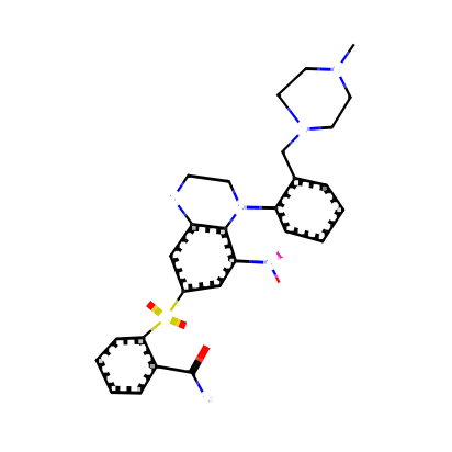 CN1CCN(Cc2ccccc2N2CCNc3cc(S(=O)(=O)c4ccccc4C(N)=O)cc([N+](=O)[O-])c32)CC1